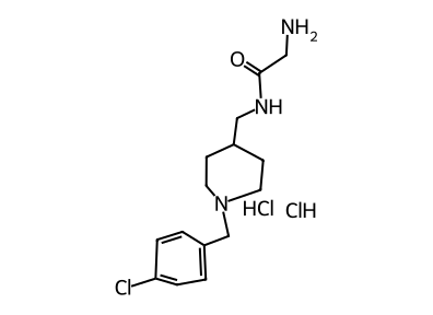 Cl.Cl.NCC(=O)NCC1CCN(Cc2ccc(Cl)cc2)CC1